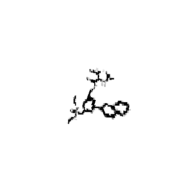 CCOP(=O)(Cc1cc(COC(=O)C(NC(C)=O)C(=O)O)cc(-c2ccc3ccccc3c2)c1)OCC